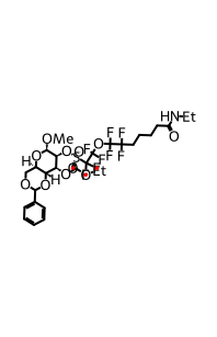 CCNC(=O)CCCCC(F)(F)C(F)(F)OC(F)(F)C(F)(F)S(=O)(=O)O[C@@H]1[C@H](OC)O[C@@H]2COC(c3ccccc3)O[C@H]2[C@@H]1OCOCC